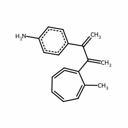 C=C(C(=C)c1ccc(N)cc1)C1=C=CC=CC=C1C